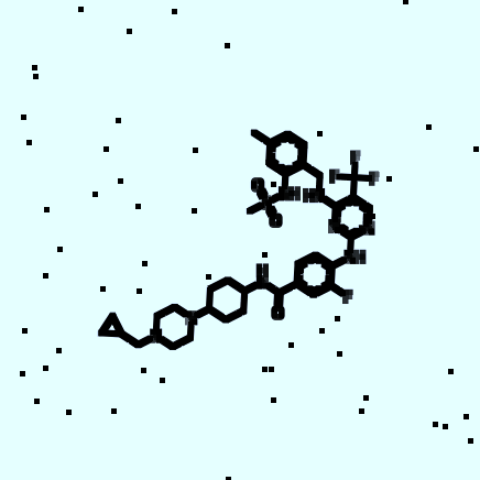 Cc1ccc(CNc2nc(Nc3ccc(C(=O)NC4CCC(N5CCN(CC6CC6)CC5)CC4)cc3F)ncc2C(F)(F)F)c(NS(C)(=O)=O)c1